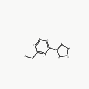 [CH2]Cc1cccc(N2CCCC2)n1